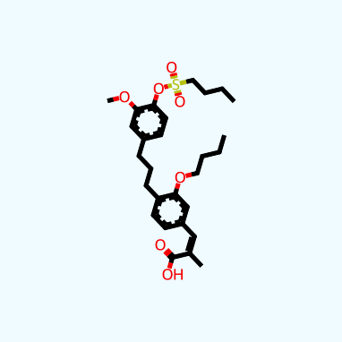 CCCCOc1cc(/C=C(/C)C(=O)O)ccc1CCCc1ccc(OS(=O)(=O)CCCC)c(OC)c1